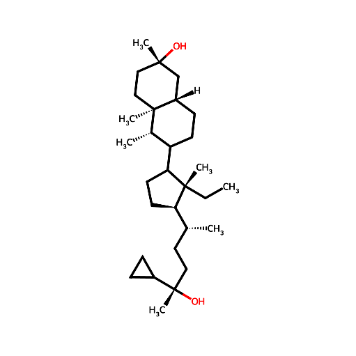 CC[C@@]1(C)C(C2CC[C@H]3C[C@@](C)(O)CC[C@]3(C)[C@H]2C)CC[C@@H]1[C@H](C)CC[C@](C)(O)C1CC1